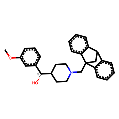 COc1cccc([C@@H](O)C2CCN(CC34CC(c5ccccc53)c3ccccc34)CC2)c1